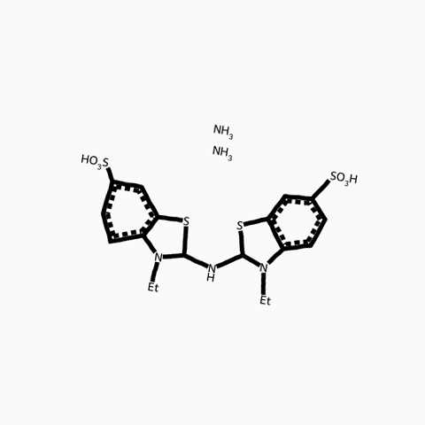 CCN1c2ccc(S(=O)(=O)O)cc2SC1NC1Sc2cc(S(=O)(=O)O)ccc2N1CC.N.N